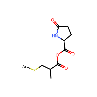 CC(=O)SCC(C)C(=O)OC(=O)[C@@H]1CCC(=O)N1